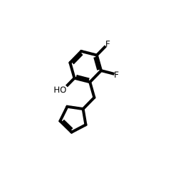 Oc1ccc(F)c(F)c1CC1CC=CC1